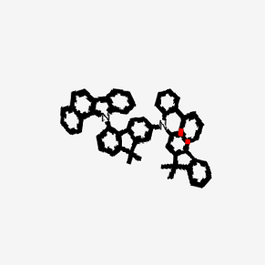 CC1(C)c2ccccc2-c2ccc(N(c3ccc4c(c3)C(C)(C)c3cccc(-n5c6ccccc6c6ccc7ccccc7c65)c3-4)c3ccccc3-c3ccccc3)cc21